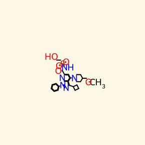 COCC1CCN(c2cc(C(=O)NS(=O)(=O)CCO)nc3c2c(C2CCC2)nn3-c2ccccc2)CC1